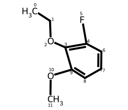 CCOc1c(F)c[c]cc1OC